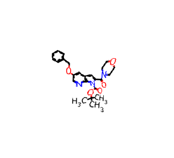 CC(C)(C)OC(=O)n1c(C(=O)N2CCOCC2)cc2cc(OCc3ccccc3)cnc21